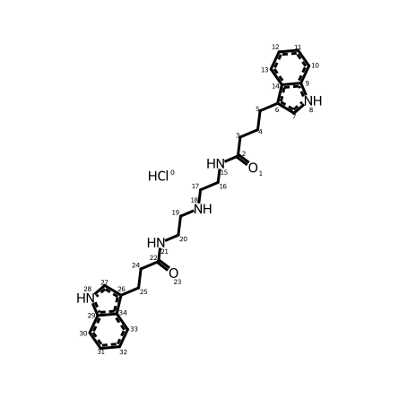 Cl.O=C(CCCc1c[nH]c2ccccc12)NCCNCCNC(=O)CCc1c[nH]c2ccccc12